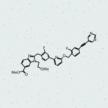 COCCn1c(Cc2ccc(-c3cccc(OCc4ccc(C#Cc5cncnc5)cc4F)n3)cc2F)nc2ccc(C(=O)OC)cc21